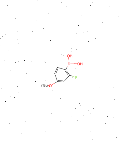 CCCCOc1ccc(B(O)O)c(F)c1